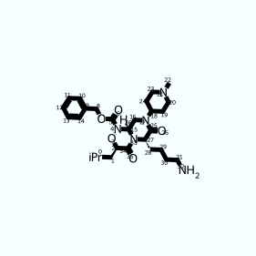 CC(C)C[C@H]1ON(C(=O)OCc2ccccc2)[C@H]2CN(C3CCN(C)CC3)C(=O)[C@H](CCCCN)N2C1=O